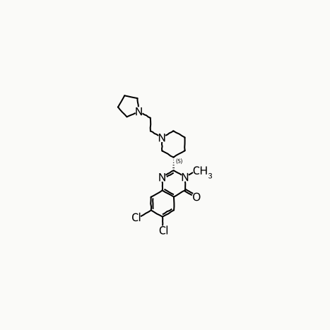 Cn1c([C@H]2CCCN(CCN3CCCC3)C2)nc2cc(Cl)c(Cl)cc2c1=O